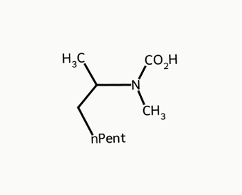 CCCCCCC(C)N(C)C(=O)O